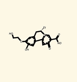 CC[C@H]1Cc2cc(OCCO)c(O)cc2-c2cc(=O)c(C(=O)N=O)cn21